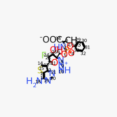 CC(NP(=O)(OC[C@@]1(N=[N+]=N)O[C@@H](c2csc3c(N)ncnc23)[C@H](F)[C@@H]1O)Oc1ccccc1)C(=O)[O-]